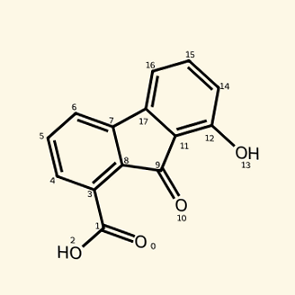 O=C(O)c1cccc2c1C(=O)c1c(O)cccc1-2